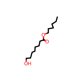 CCCCCCOC(=O)CCCCCCCO